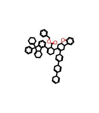 O=C(OCc1ccccc1)C1C(c2cccc3c2C2CCCC=C2C3(C2=CCCCC2)c2ccccc2)=CCCC1C1=C(C2C=CC(C3C=CC(C4C=CC=CC4)=CC3)=CC2)CC2c3ccccc3OC2C1